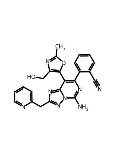 Cc1nc(CO)c(-c2c(-c3ccccc3C#N)nc(N)n3nc(Cc4ccccn4)nc23)o1